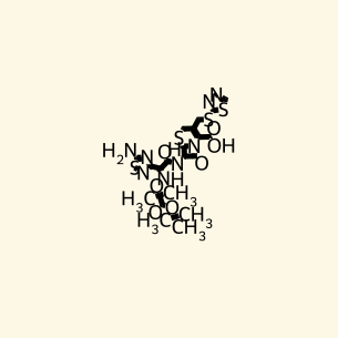 CC(C)(C)OC(=O)C(C)(C)ON=C(C(=O)NC1C(=O)N2C(C(=O)O)=C(CSc3nncs3)CS[C@@H]12)c1nsc(N)n1